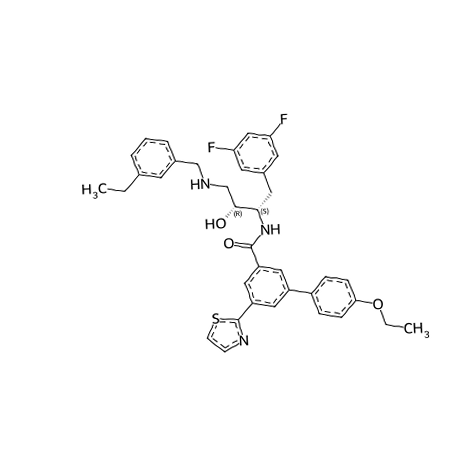 CCOc1ccc(-c2cc(C(=O)N[C@@H](Cc3cc(F)cc(F)c3)[C@H](O)CNCc3cccc(CC)c3)cc(-c3nccs3)c2)cc1